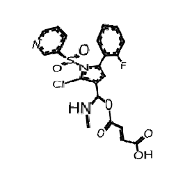 CNC(OC(=O)/C=C/C(=O)O)c1cc(-c2ccccc2F)n(S(=O)(=O)c2cccnc2)c1Cl